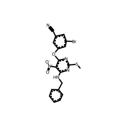 CSc1nc(NCc2ccccc2)c([N+](=O)[O-])c(Oc2cc(Br)cc(C#N)c2)n1